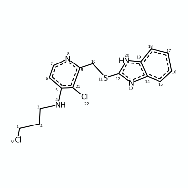 ClCCCNc1ccnc(CSc2nc3ccccc3[nH]2)c1Cl